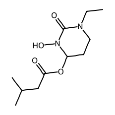 CCN1CCC(OC(=O)CC(C)C)N(O)C1=O